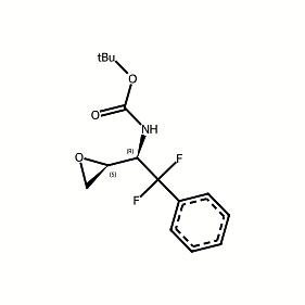 CC(C)(C)OC(=O)N[C@H]([C@H]1CO1)C(F)(F)c1ccccc1